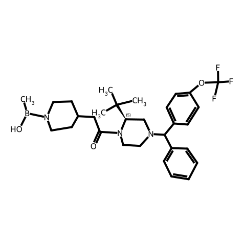 CB(O)N1CCC(CC(=O)N2CCN(C(c3ccccc3)c3ccc(OC(F)(F)F)cc3)C[C@@H]2C(C)(C)C)CC1